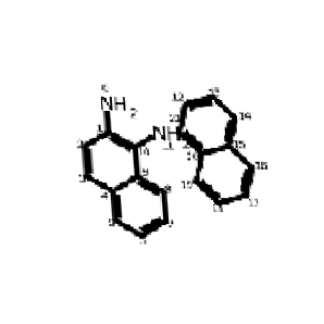 Nc1ccc2ccccc2c1N.c1ccc2ccccc2c1